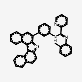 Cc1ccccc1/N=C(\Nc1cccc(-c2cc3ccccc3c3c2oc2ccc4ccccc4c23)c1)c1ccccn1